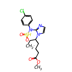 [CH2]CC(CCCC(=O)OC)n1ccnc1N(c1ccc(Cl)cc1)[SH](=O)=O